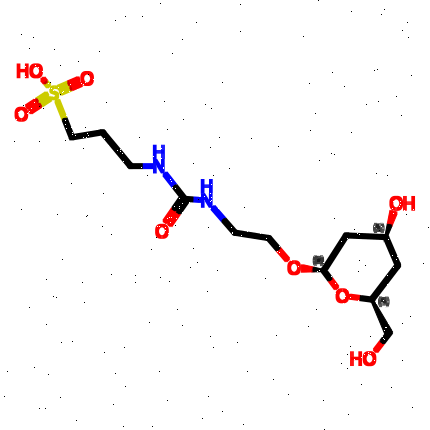 O=C(NCCCS(=O)(=O)O)NCCO[C@H]1C[C@@H](O)C[C@@H](CO)O1